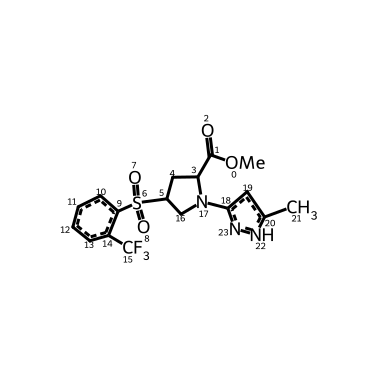 COC(=O)C1CC(S(=O)(=O)c2ccccc2C(F)(F)F)CN1c1cc(C)[nH]n1